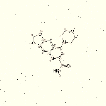 CNC(=O)c1cc(N2CCOCC2)c2cc3c(cc2n1)OCO3